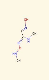 N#CNON=C(C=NO)NC#N